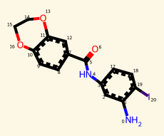 Nc1cc(NC(=O)c2ccc3c(c2)OCCO3)ccc1I